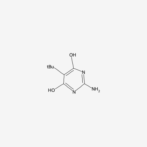 CC(C)(C)c1c(O)nc(N)nc1O